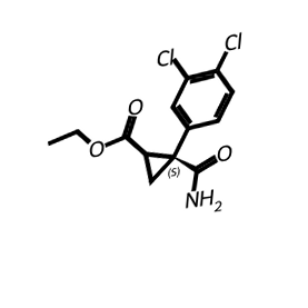 CCOC(=O)C1C[C@@]1(C(N)=O)c1ccc(Cl)c(Cl)c1